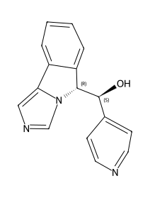 O[C@@H](c1ccncc1)[C@H]1c2ccccc2-c2cncn21